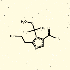 CCCc1ncc(C(C)=O)n1C(C)(C)OC